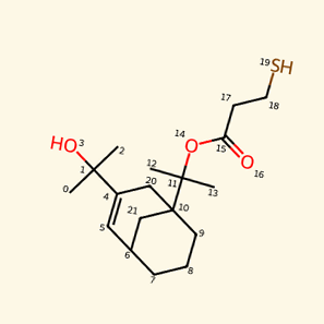 CC(C)(O)C1=CC2CCCC(C(C)(C)OC(=O)CCS)(C1)C2